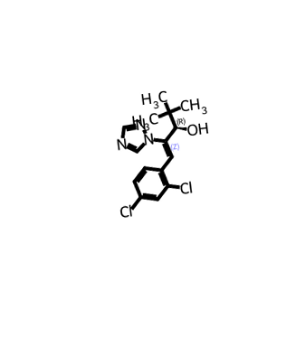 CC(C)(C)[C@@H](O)/C(=C/c1ccc(Cl)cc1Cl)n1cncn1